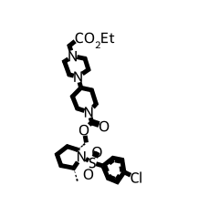 CCOC(=O)CN1CCN(C2CCN(C(=O)OC[C@H]3CCC[C@@H](C)N3S(=O)(=O)c3ccc(Cl)cc3)CC2)CC1